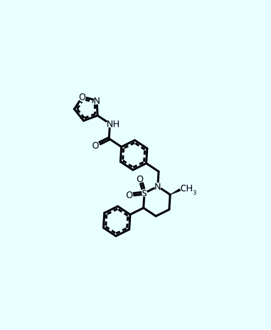 C[C@H]1CCC(c2ccccc2)S(=O)(=O)N1Cc1ccc(C(=O)Nc2ccon2)cc1